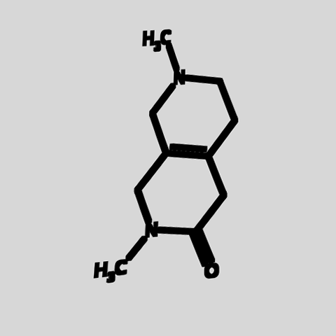 CN1CCC2=C(C1)CN(C)C(=O)C2